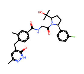 Cc1cc(Cc2ccc(C(=O)NCC(=O)N3C(C(C)(C)O)CC[C@H]3c3cccc(F)c3)cc2C)c(=O)[nH]n1